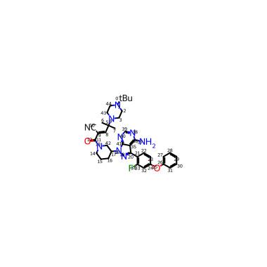 CC(C)(C)N1CCN(C(C)(C)C=C(C#N)C(=O)N2CCCC(n3nc(-c4ccc(Oc5ccccc5)cc4F)c4c(N)ncnc43)C2)CC1